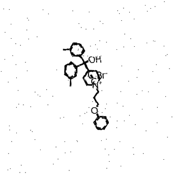 Cc1cccc(C(O)(c2cccc(C)c2)C23CC[N+](CCCOc4ccccc4)(CC2)CC3)c1.[Br-]